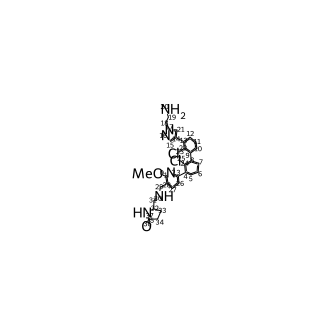 COc1nc(-c2cccc(-c3cccc(-c4cnn(CCN)c4)c3Cl)c2Cl)ccc1CNCC1CCC(=O)N1